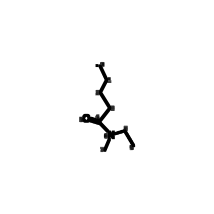 [CH2]CCCC(=O)N(C)CC